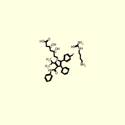 CC(C)c1c(C(=O)Nc2ccccc2)c(-c2ccccc2)c(-c2ccc(F)cc2)n1CC[C@@H](O)C[C@@H](O)CC(=O)O.N=C(N)NCCCCN